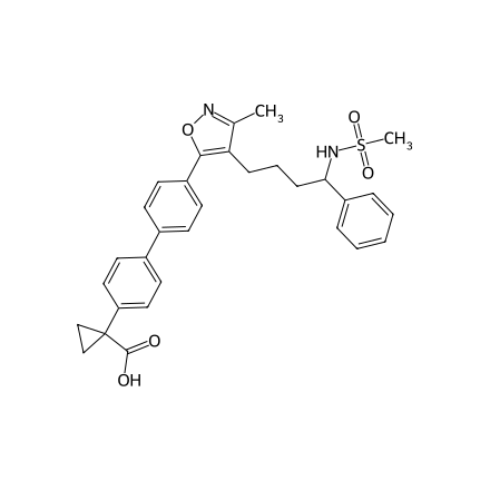 Cc1noc(-c2ccc(-c3ccc(C4(C(=O)O)CC4)cc3)cc2)c1CCCC(NS(C)(=O)=O)c1ccccc1